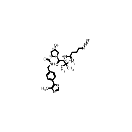 Cc1ncsc1-c1ccc(CNC(=O)[C@@H]2C[C@@H](O)CN2C(=O)[C@H](NC(=O)CCCN=[N+]=[N-])C(C)(C)C)cc1